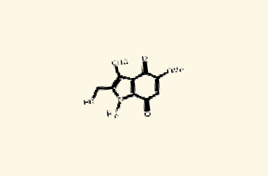 COC1=CC(=O)c2c(c(C=O)c(CO)n2C)C1=O